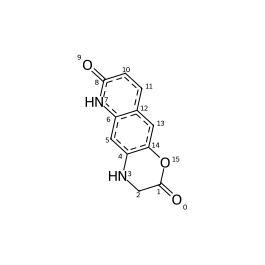 O=C1CNc2cc3[nH]c(=O)ccc3cc2O1